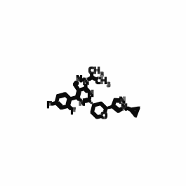 CC(C)n1ncc2c(-c3ccc(F)cc3F)nc([C@H]3CCO[C@H](c4cnn(C5CC5)c4)C3)nc21